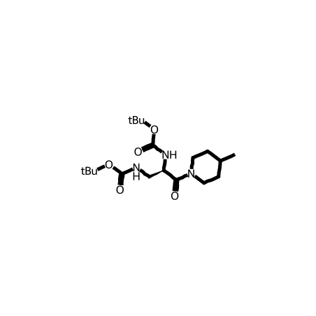 CC1CCN(C(=O)[C@@H](CNC(=O)OC(C)(C)C)NC(=O)OC(C)(C)C)CC1